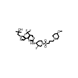 COC1CCN(CCCS(=O)(=O)N2CC[C@H](Nc3ncc(C(F)(F)F)c(-c4cnn(CC(C)(C)O)c4)n3)[C@H](F)C2)CC1